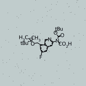 CC(C)(C)OC(=O)N(C(=O)O)c1cc2cc(F)cc(CO[Si](C)(C)C(C)(C)C)c2cn1